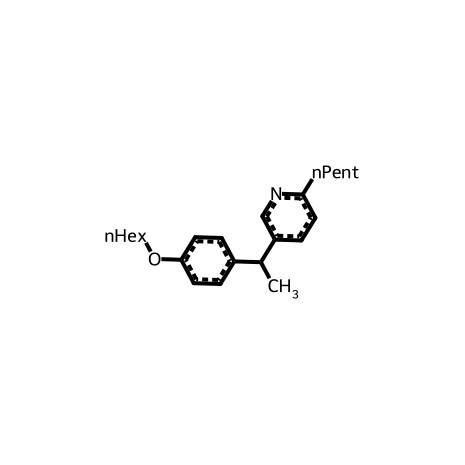 CCCCCCOc1ccc(C(C)c2ccc(CCCCC)nc2)cc1